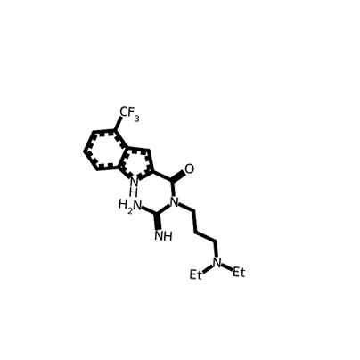 CCN(CC)CCCN(C(=N)N)C(=O)c1cc2c(C(F)(F)F)cccc2[nH]1